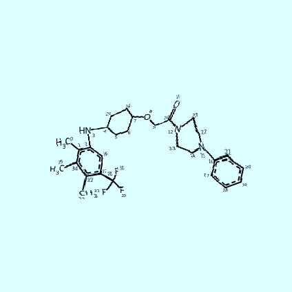 Cc1c(NC2CCC(OCC(=O)N3CCN(c4ccccc4)CC3)CC2)cc(C(F)(F)F)c(C)c1C